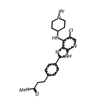 CNC(=O)CCc1ccc(-c2nc3c(NC4CCN(C(C)C)CC4)c(Cl)cnc3[nH]2)cc1